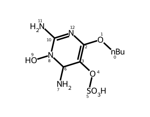 CCCCOC1=C(OS(=O)(=O)O)C(N)N(O)C(N)=N1